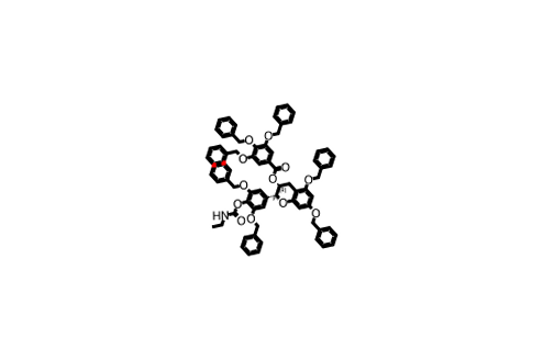 CCNC(=O)Oc1c(OCc2ccccc2)cc([C@H]2Oc3cc(OCc4ccccc4)cc(OCc4ccccc4)c3C[C@H]2OC(=O)c2cc(OCc3ccccc3)c(OCc3ccccc3)c(OCc3ccccc3)c2)cc1OCc1ccccc1